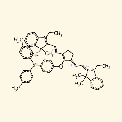 CCN1/C(=C/C=C2\CCC(/C=C/C3=[N+](CC)c4ccccc4C3(C)C)=C2Oc2ccc([S+](c3ccc(C)cc3)c3ccc(C)cc3)cc2)C(C)(C)c2ccccc21